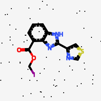 O=C(OCI)c1cccc2[nH]c(-c3cscn3)nc12